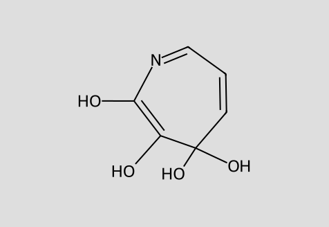 OC1=C(O)C(O)(O)C=CC=N1